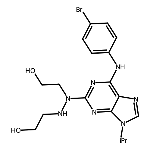 CC(C)n1cnc2c(Nc3ccc(Br)cc3)nc(N(CCO)NCCO)nc21